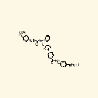 CCCCCc1ccc(CNC(=O)c2ccc(-c3nc(C/C(=C\C(=O)NCc4ccc(OOC(C)=O)cc4)c4ccccc4)cs3)cc2)cc1